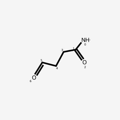 [NH]C(=O)CCC=O